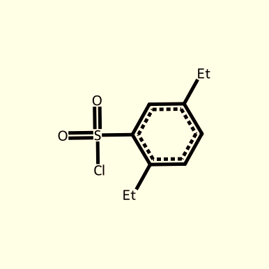 CCc1ccc(CC)c(S(=O)(=O)Cl)c1